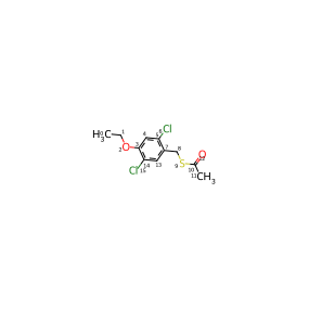 CCOc1cc(Cl)c(CSC(C)=O)cc1Cl